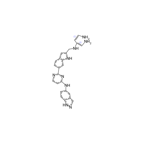 N/C=C\C(=C/N)NCc1cc2ccc(-c3nccc(Nc4ccc5[nH]ncc5c4)n3)cc2[nH]1